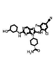 N#Cc1cc(F)c(Nc2nc3cnc(N[C@@H]4CCCC(O)C4)nc3n2[C@H]2CC[C@@H](C(N)=O)CC2)c(Cl)c1